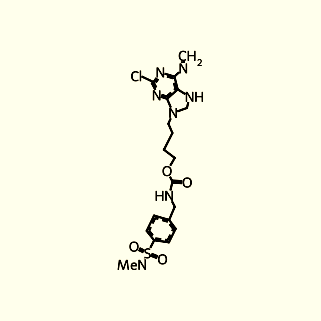 C=Nc1nc(Cl)nc2c1NCN2CCCCOC(=O)NCc1ccc(S(=O)(=O)NC)cc1